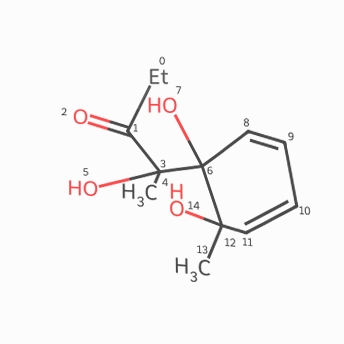 CCC(=O)C(C)(O)C1(O)C=CC=CC1(C)O